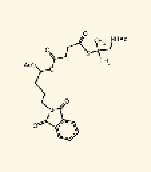 CC(=O)NCC(C)(C)SC(=O)CCC(=O)OC(CCCN1C(=O)c2ccccc2C1=O)OC(C)=O